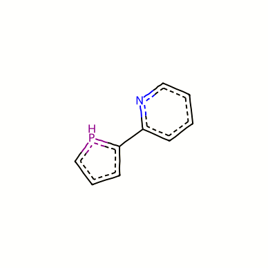 c1ccc(-c2ccc[pH]2)nc1